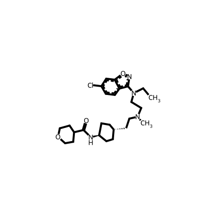 CCN(CCN(C)CC[C@H]1CC[C@H](NC(=O)C2CCOCC2)CC1)c1noc2cc(Cl)ccc12